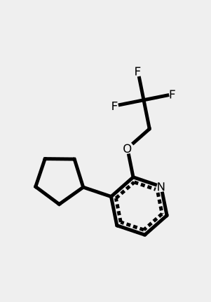 FC(F)(F)COc1ncccc1C1CCCC1